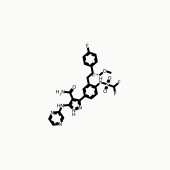 COC[C@H](Cc1cc(-c2n[nH]c(Nc3cnccn3)c2C(N)=O)ccc1NS(=O)(=O)C(F)F)c1ccc(F)cc1